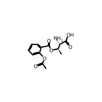 CC(=O)Oc1ccccc1C(=O)O[C@H](C)[C@H](N)C(=O)O